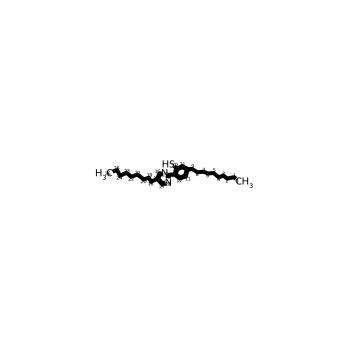 CCCCCCCCCCc1ccc(-c2ncc(CCCCCCCCC)cn2)c(S)c1